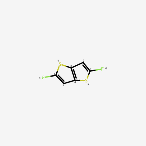 Fc1cc2sc(F)cc2s1